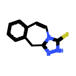 S=c1[nH]nc2n1C=Cc1ccccc1C2